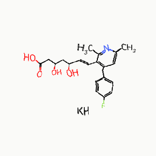 Cc1cc(-c2ccc(F)cc2)c(C=C[C@@H](O)C[C@@H](O)CC(=O)O)c(C)n1.[KH]